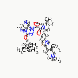 C[C@H]1CC[C@H](c2ccc3sc(C4CCN(C)C[C@@H]4C)nc3c2)N(C(=O)C(=O)Nc2cncc3cnn(COCC[Si](C)(C)C)c23)C1